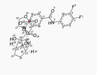 O=C(Nc1ccc(F)c(F)c1)c1ccc(Cl)c(S(=O)(=O)[C@@H]2C[C@H]3CC[C@@H](C2)[C@@]3(O)C(O)CN2CCOC2=O)c1